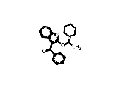 CC(Oc1sc2ccccc2c1C(=O)c1ccccc1)N1CCCCC1